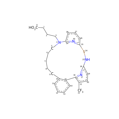 O=C(O)CCCN1CCCCCc2ccccc2-c2nc(ccc2C(F)(F)F)NSc2cccc1n2